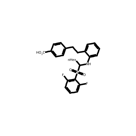 CCCCCCC(Nc1ccccc1CCc1ccc(C(=O)O)cc1)S(=O)(=O)c1c(F)cccc1F